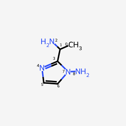 CC(N)c1nccn1N